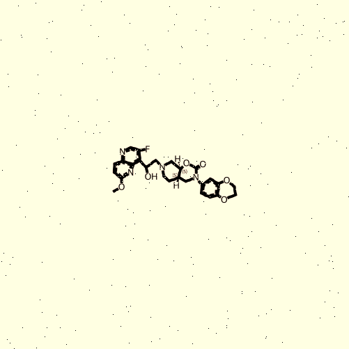 COc1ccc2ncc(F)c(C(O)CN3CC[C@H]4CN(c5ccc6c(c5)OCCO6)C(=O)O[C@@H]4C3)c2n1